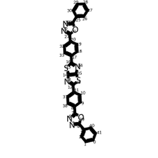 c1ccc(-c2nnc(-c3ccc(-c4nc5sc(-c6ccc(-c7nnc(-c8ccccc8)o7)cc6)nc5s4)cc3)o2)cc1